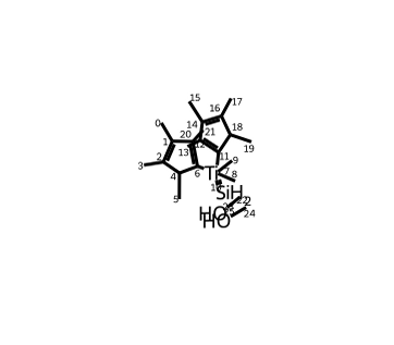 CC1=C(C)C(C)[C]([Ti]([CH3])([CH3])(=[SiH2])[C]2=C(C)C(C)=C(C)C2C)=C1C.CO.CO